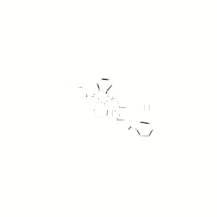 CC(C)(C)OC(=O)Nc1ccccc1N(CC(NC(=O)OC(=O)c1ccccc1)C(=O)O)C1CCCCC1